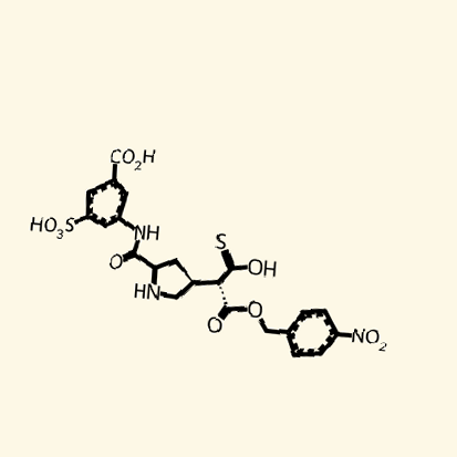 O=C(O)c1cc(NC(=O)C2C[C@@H]([C@@H](C(=O)OCc3ccc([N+](=O)[O-])cc3)C(O)=S)CN2)cc(S(=O)(=O)O)c1